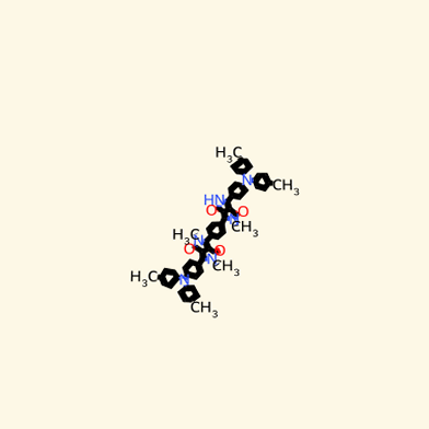 Cc1ccc(N(c2ccc(C)cc2)c2ccc(C3=C4C(=O)N(C)C(c5ccc(C6=C7C(=O)N(C)C(c8ccc(N(c9ccc(C)cc9)c9ccc(C)cc9)cc8)=C7C(=O)N6C)cc5)=C4C(=O)N3)cc2)cc1